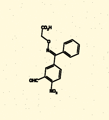 O=Cc1cc(C(=NOCC(=O)O)c2ccccc2)ccc1[N+](=O)[O-]